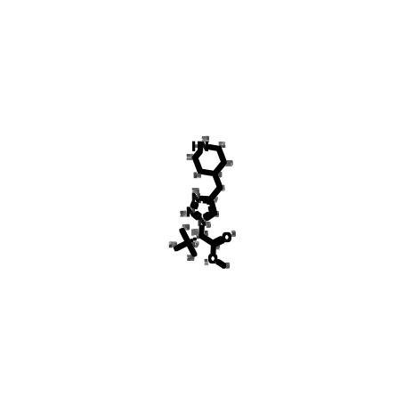 COC(=O)[C@@H](n1cc(CC2CCNCC2)nn1)C(C)(C)C